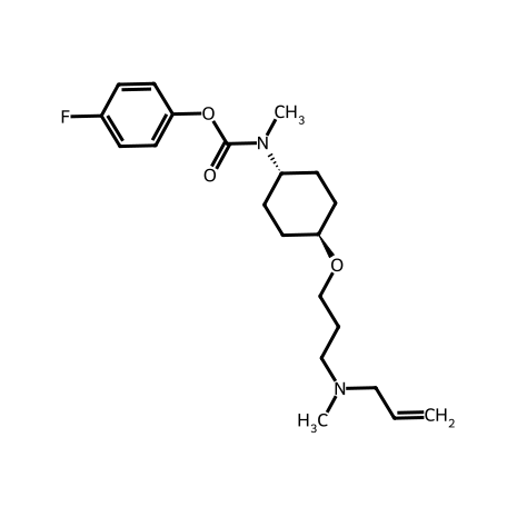 C=CCN(C)CCCO[C@H]1CC[C@H](N(C)C(=O)Oc2ccc(F)cc2)CC1